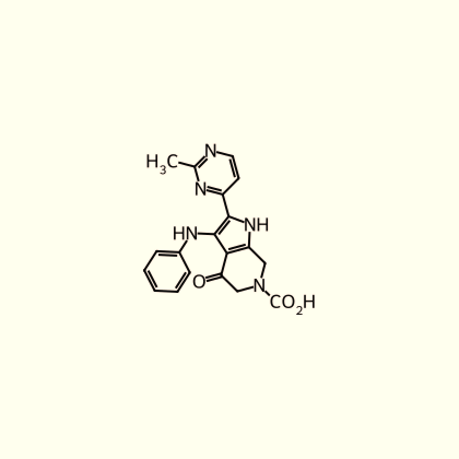 Cc1nccc(-c2[nH]c3c(c2Nc2ccccc2)C(=O)CN(C(=O)O)C3)n1